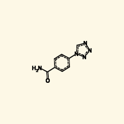 NC(=O)c1ccc(-n2cnnn2)cc1